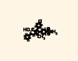 CN1C(c2ccc(S(N)(=O)=O)cc2)C(c2ccc(Cl)cc2)=C(C(=O)O)N1CCc1ccccc1